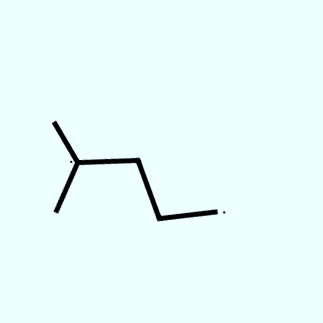 [CH2]CC[C](C)C